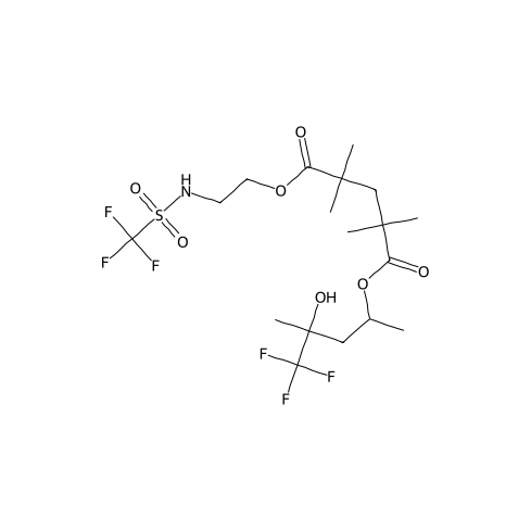 CC(CC(C)(O)C(F)(F)F)OC(=O)C(C)(C)CC(C)(C)C(=O)OCCNS(=O)(=O)C(F)(F)F